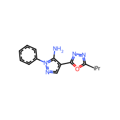 CC(C)c1nnc(-c2cnn(-c3ccccc3)c2N)o1